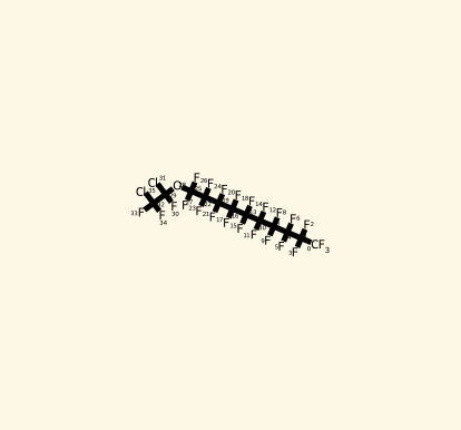 FC(F)(F)C(F)(F)C(F)(F)C(F)(F)C(F)(F)C(F)(F)C(F)(F)C(F)(F)C(F)(F)C(F)(F)OC(F)(Cl)C(F)(F)Cl